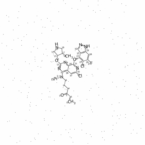 C=CC(=O)CCCN(CCC)c1nc(OC2CNCC2C)nc2c(Oc3c(Cl)c(F)cc4[nH]ncc34)nc(Cl)cc12